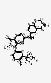 CCn1c(=O)c2cnc(Nc3ccc4c(c3)CNCC4)nc2n1-c1ccc(F)c(C(C)(C)C#N)c1